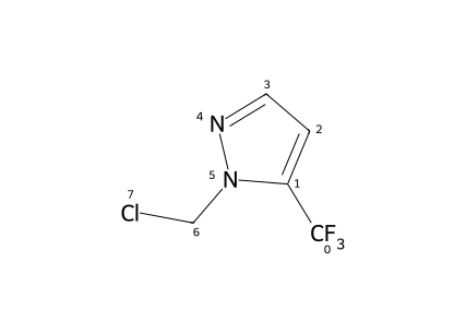 FC(F)(F)c1ccnn1CCl